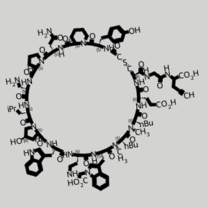 C#CCC(NC(=O)CNC(=O)[C@@H]1CSCC(=O)N[C@@H](Cc2ccc(O)cc2)C(=O)N2CCCC[C@H]2C(=O)N[C@@H](CC(N)=O)C(=O)N2CCC[C@H]2C(=O)N[C@@H](CN)C(=O)N[C@@H](CC(C)C)C(=O)N2C[C@H](O)C[C@H]2C(=O)N[C@@H](Cc2c[nH]c3ccccc23)C(=O)N[C@@H](CCN)C(=O)N[C@@H](Cc2cn(CC(=O)O)c3ccccc23)C(=O)N(C)[C@@H](CCCC)C(=O)N(C)[C@@H](CCCC)C(=O)N[C@@H](CCC(=O)O)C(=O)N1)C(=O)O